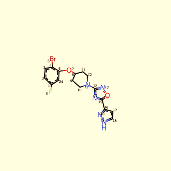 Fc1ccc(Br)c(OC2CCN(c3noc(-c4cc[nH]n4)n3)CC2)c1